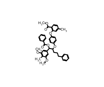 COC(=O)c1ccc(C)cc1Oc1ccc(OC(CCCc2ccccc2)C(OC(=O)c2ccccc2)c2cc(OC)c(C)c(OC)c2)cc1